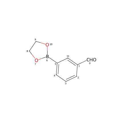 O=Cc1cccc(B2OCCO2)c1